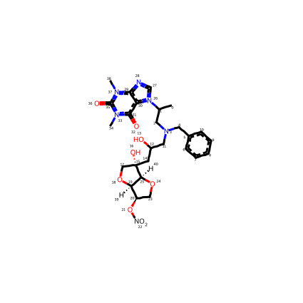 CC(CN(Cc1ccccc1)CC(O)C[C@]1(O)CO[C@@H]2[C@H](O[N+](=O)[O-])CO[C@@H]21)n1cnc2c1c(=O)n(C)c(=O)n2C